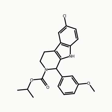 COc1cccc(C2c3[nH]c4ccc(Cl)cc4c3CCN2C(=O)OC(C)C)c1